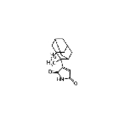 CC12CC3CC(CC(C3)C1(C)C1=CC(=O)NC1=O)C2